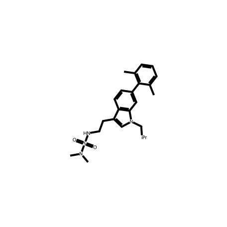 Cc1cccc(C)c1-c1ccc2c(CCNS(=O)(=O)N(C)C)cn(CC(C)C)c2c1